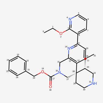 CCOc1ncccc1-c1ccc2c(n1)CN(C(=O)OCc1ccccc1)C[C@]21CCNC[C@H]1CC